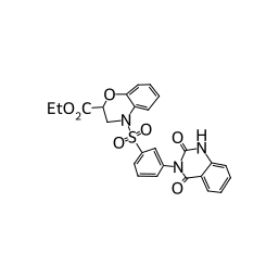 CCOC(=O)C1CN(S(=O)(=O)c2cccc(-n3c(=O)[nH]c4ccccc4c3=O)c2)c2ccccc2O1